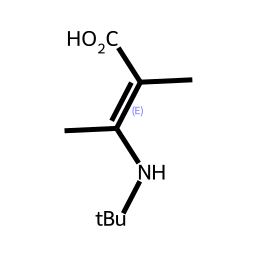 C/C(NC(C)(C)C)=C(/C)C(=O)O